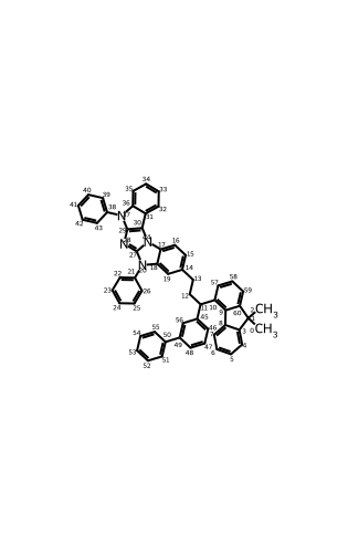 CC1(C)c2ccccc2-c2c(C(CCc3ccc4c(c3)n(-c3ccccc3)c3nc5c(c6ccccc6n5-c5ccccc5)n43)c3cccc(-c4ccccc4)c3)cccc21